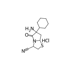 Cl.N#CC1CSC2CC(N)(C3CCCCC3)C(=O)N12